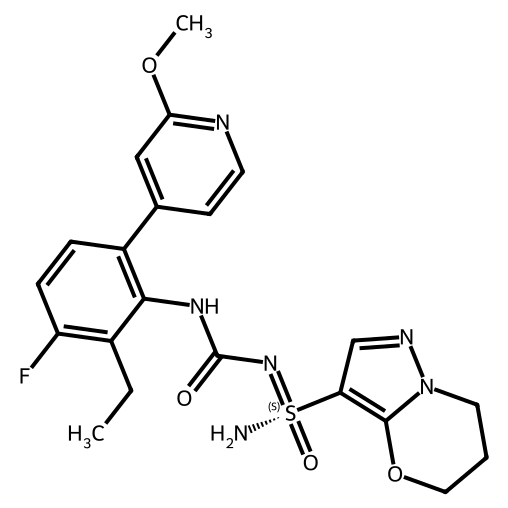 CCc1c(F)ccc(-c2ccnc(OC)c2)c1NC(=O)N=[S@](N)(=O)c1cnn2c1OCCC2